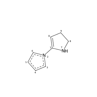 C1=C(n2cccc2)NCC1